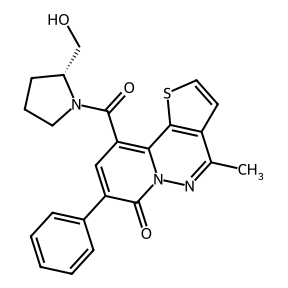 Cc1nn2c(=O)c(-c3ccccc3)cc(C(=O)N3CCC[C@@H]3CO)c2c2sccc12